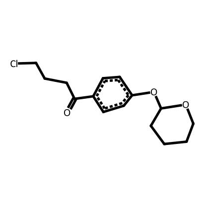 O=C(CCCCl)c1ccc(OC2CCCCO2)cc1